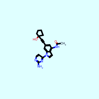 CC(=O)Nc1cc(C#CC2(O)CCCC2)cc2c1ccn2-c1ccnc(N)n1